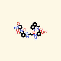 CC(NC(=O)c1cc(NC(=O)CCCNc2cccc3c2C(=O)N(C2CCC(=O)NC2=O)C3=O)ccc1O)c1cccc2ccccc12